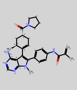 C=C(C)C(=O)Nc1ccc(-c2c(C3=CC[C@@H](C(=O)N4CCCC4)C[C@@H]3C)c3c(N)ncnc3n2C)cc1